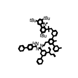 C=CCC(C=C)C1=CC(C2=CC=CCC2)CC(C(=N/C(=N)c2ccc(C3=CC=CCC3)cc2)/N=C/Cc2cc(C3=CC=CC(C)C3)c(C)c(C3C=CC=C(CC(C)(C)c4cc(C(C)(C)C)cc5c6cc(C(C)(C)C)cc(C(C)(C)C)c6n(C)c45)C3)c2)=C1